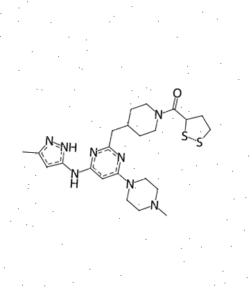 Cc1cc(Nc2cc(N3CCN(C)CC3)nc(CC3CCN(C(=O)C4CCSS4)CC3)n2)[nH]n1